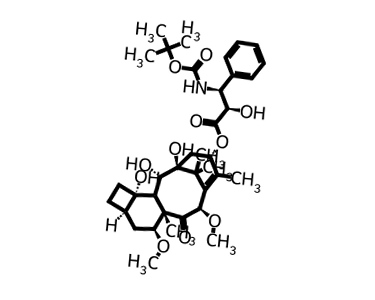 CO[C@H]1C(=O)[C@@]2(C)C([C@H](O)[C@]3(O)C[C@H](OC(=O)[C@H](O)[C@@H](NC(=O)OC(C)(C)C)c4ccccc4)C(C)=C1C3(C)C)[C@]1(O)CC[C@@H]1C[C@@H]2OC